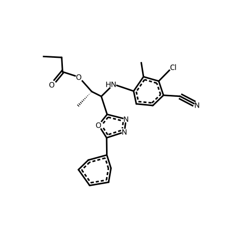 CCC(=O)O[C@@H](C)C(Nc1ccc(C#N)c(Cl)c1C)c1nnc(-c2ccccc2)o1